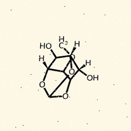 COC1C2OC3O[C@@H]1C(O)[C@@H](O3)[C@@H]2O